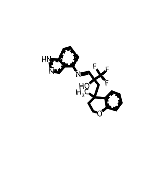 CC1(CC(O)(C=Nc2cccc3[nH]ncc23)C(F)(F)F)CCOc2ccccc21